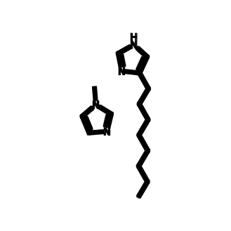 CCCCCCCCc1c[nH]cn1.Cn1ccnc1